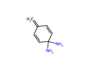 C=C1C=CC(N)(N)C=C1